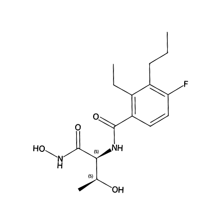 CCCc1c(F)ccc(C(=O)N[C@H](C(=O)NO)[C@H](C)O)c1CC